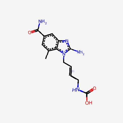 Cc1cc(C(N)=O)cc2nc(N)n(C/C=C/CNC(=O)O)c12